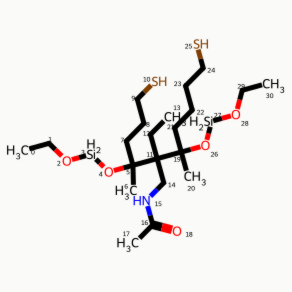 CCO[SiH2]OC(C)(CCCS)C(CC)(CNC(C)=O)C(C)(CCCCS)O[SiH2]OCC